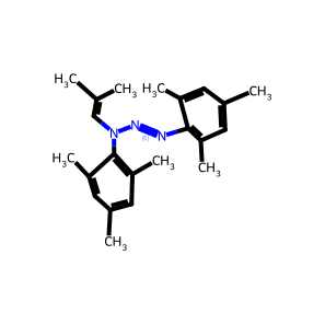 CC(C)=CN(/N=N/c1c(C)cc(C)cc1C)c1c(C)cc(C)cc1C